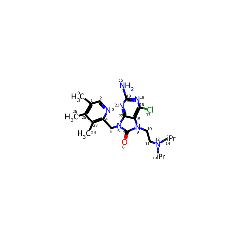 Cc1cnc(Cn2c(=O)n(CCN(C(C)C)C(C)C)c3c(Cl)nc(N)nc32)c(C)c1C